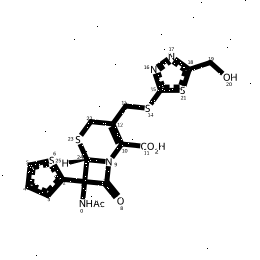 CC(=O)NC1(c2cccs2)C(=O)N2C(C(=O)O)=C(CSc3nnc(CO)s3)CS[C@H]21